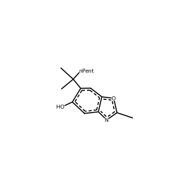 CCCCCC(C)(C)c1cc2oc(C)nc2cc1O